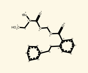 CC(C)(C)N(CC(=O)O)C(=O)OCOC(=O)c1ccccc1CCc1ccccc1